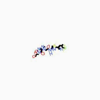 COCC(=O)Cn1c(=O)c2c(ncn2CC(=O)Nc2csc(-c3cnc(C(F)(F)F)c(C)c3)n2)n(C)c1=O